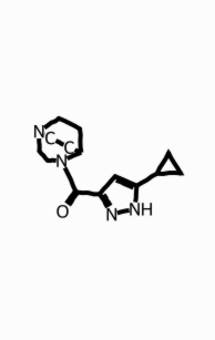 O=C(c1cc(C2CC2)[nH]n1)N1CCN2CCC1CC2